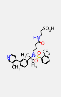 Cc1cnccc1-c1cccc(C(C)(C)N(CCCC(=O)NCCS(=O)(=O)O)S(=O)(=O)c2ccccc2C(F)(F)F)c1